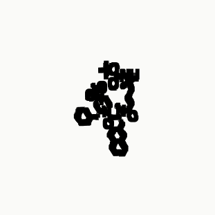 CN(C(=O)/C=C/CC(C)(C)NC(=O)OC(C)(C)C)[C@H](Cc1ccc2ccccc2c1)C(=O)N1CCN(S(C)(=O)=O)C[C@H]1Cc1ccccc1